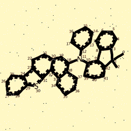 CC1(C)c2ccccc2-c2c(N(c3ccccc3)c3cc4ccc5c6ccccc6sc5c4c4ccccc34)cccc21